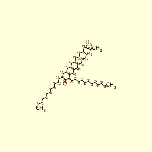 CCCCCCCCCCCCC(CCCCCCCCCCCC)C(=O)C(CCCCCCCCCCCC)CCCCCCCCCCCC